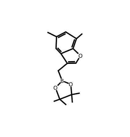 Cc1cc(C)c2occ(CB3OC(C)(C)C(C)(C)O3)c2c1